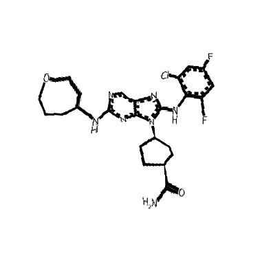 NC(=O)[C@H]1CC[C@@H](n2c(Nc3c(F)cc(F)cc3Cl)nc3cnc(NC4CCCOCC4)nc32)CC1